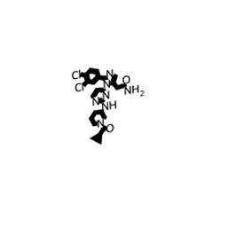 NC(=O)Cc1cnc(-c2ccc(Cl)c(Cl)c2)n1-c1ccnc(N[C@H]2CCCN(C(=O)C3CC3)C2)n1